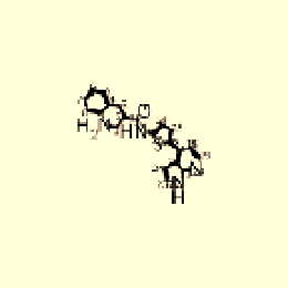 NCC(Cc1ccccc1)C(=O)Nc1ccc(-c2ccnc3[nH]ccc23)s1